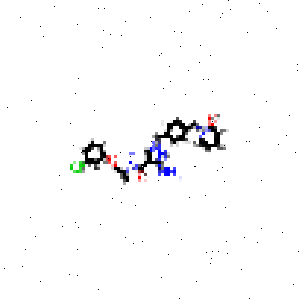 CC(COc1cccc(Cl)c1)NC(=O)c1cn(Cc2ccc(Cn3ccccc3=O)cc2)nc1N